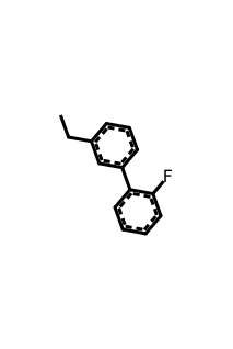 CCc1cccc(-c2ccccc2F)c1